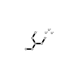 [Li+].[Li+].[Li+].[O-]OB(O[O-])O[O-]